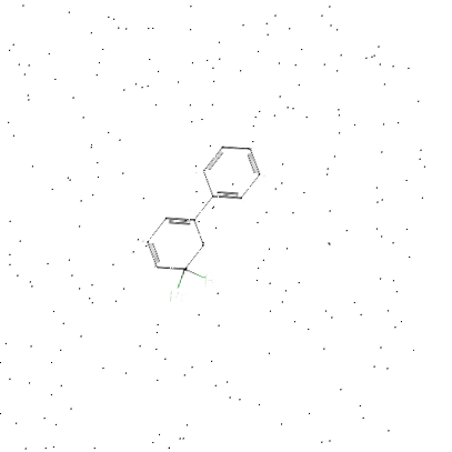 BrC1(Br)C=CC=C(c2ccccc2)C1